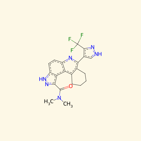 CN(C)C(=O)c1n[nH]c2ccc3nc(-c4c[nH]nc4C(F)(F)F)c4c(c3c12)CCCC4